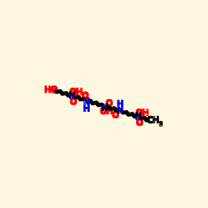 CCCC(=O)N(O)CCCCCNC(=O)CCC(=O)N(O)CCCCCNC(=O)CCC(=O)N(O)CCCCCO